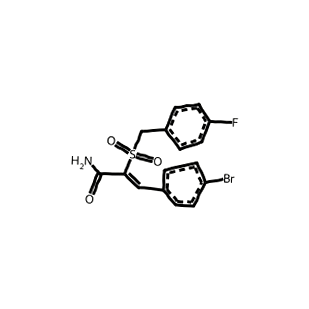 NC(=O)C(=Cc1ccc(Br)cc1)S(=O)(=O)Cc1ccc(F)cc1